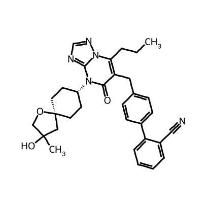 CCCc1c(Cc2ccc(-c3ccccc3C#N)cc2)c(=O)n([C@H]2CC[C@]3(CC2)CC(C)(O)CO3)c2ncnn12